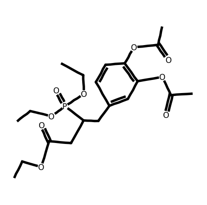 CCOC(=O)CC(Cc1ccc(OC(C)=O)c(OC(C)=O)c1)P(=O)(OCC)OCC